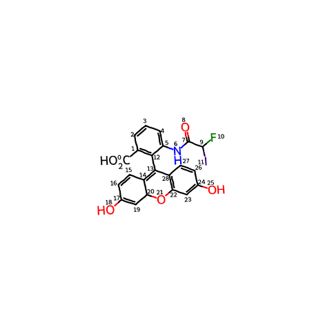 O=C(O)c1cccc(NC(=O)C(F)I)c1C1=C2C=CC(O)=CC2Oc2cc(O)ccc21